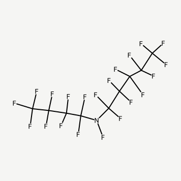 FN(C(F)(F)C(F)(F)C(F)(F)C(F)(F)F)C(F)(F)C(F)(F)C(F)(F)C(F)(F)C(F)(F)F